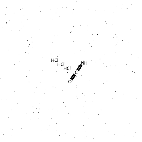 Cl.Cl.Cl.N=C=O